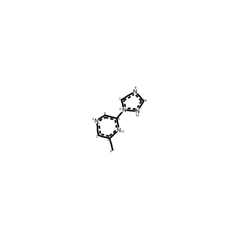 Cc1cncc(-n2cncn2)n1